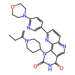 C=C(CC)N1CCC(n2c(=O)[nH]c(=O)c3cnc4ccc(-c5ccc(N6CCOCC6)nc5)nc4c32)CC1